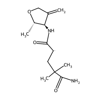 C=C1CO[C@@H](C)[C@@H]1NC(=O)[CH]CC(C)(C)C(N)=O